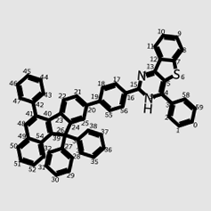 c1ccc(C2=c3sc4ccccc4c3=NC(c3ccc(-c4ccc5c(c4)C(c4ccccc4)(c4ccccc4)c4c-5c(-c5ccccc5)cc5ccccc45)cc3)N2)cc1